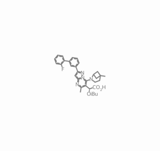 Cc1nc2cc(-c3cccc(-c4ccccc4F)c3)nn2c(N2CCC3(C)CC2C3)c1[C@H](OCC(C)C)C(=O)O